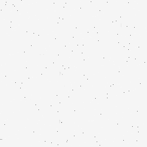 CC1CC(=O)N(CCc2ccc(F)cc2)C(=O)C1C#N